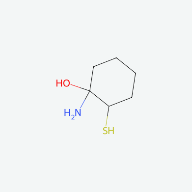 NC1(O)CCCCC1S